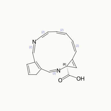 O=C(O)[C@@]12C=C1\C=C/C=C\C=C/N=C\C1=C(/C=N\2)CC=C1